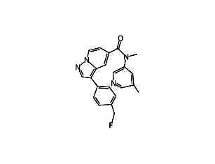 Cc1cncc(N(C)C(=O)c2ccn3ncc(-c4ccc(CF)cc4)c3c2)c1